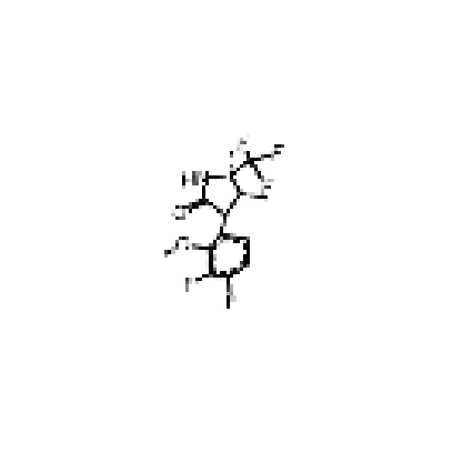 COc1c([C@H]2C(=O)N[C@@](C)(C(F)(F)F)[C@H]2C)ccc(F)c1F